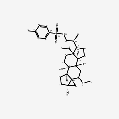 CC[C@]12CC[C@H]3[C@@H](C[C@@H](OC)[C@]45C[C@H]4CC[C@]35C)[C@@H]1CC[C@@H]2[C@H](C)COS(=O)(=O)c1ccc(C)cc1